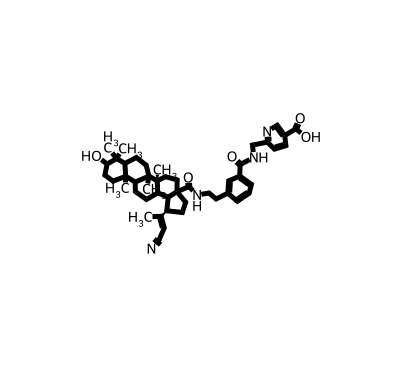 C/C(=C\C#N)[C@@H]1CCC2(C(=O)NCCc3cccc(C(=O)NCc4ccc(C(=O)O)cn4)c3)CC[C@]3(C)C(CCC4C5(C)CCC(O)C(C)(C)C5CCC43C)C12